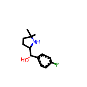 CC1(C)CCC([C@@H](O)c2ccc(F)cc2)N1